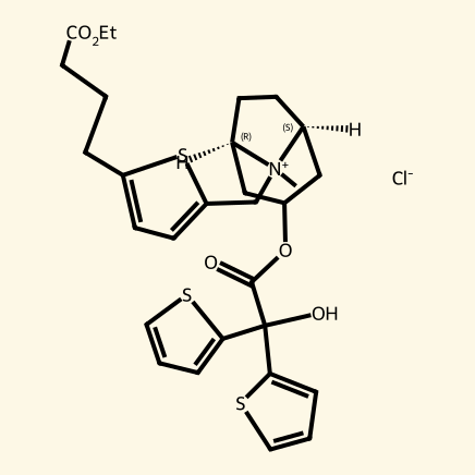 CCOC(=O)CCCc1ccc(C[N+]2(C)[C@@H]3CC[C@H]2CC(OC(=O)C(O)(c2cccs2)c2cccs2)C3)s1.[Cl-]